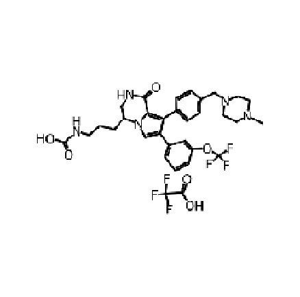 CN1CCN(Cc2ccc(-c3c(-c4cccc(OC(F)(F)F)c4)cn4c3C(=O)NC[C@@H]4CCCNC(=O)O)cc2)CC1.O=C(O)C(F)(F)F